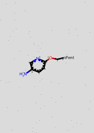 CCCCCCOc1ccc(N)cn1